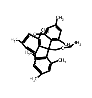 BCCCC(c1c(C)cc(C)cc1C)(c1c(C)cc(C)cc1C)c1c(C)cc(C)cc1C